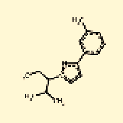 CCC(C(C)C)n1ccc(-c2cccc(C)c2)n1